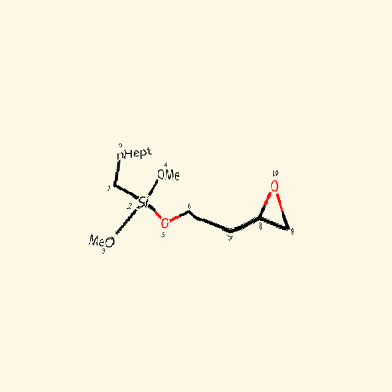 CCCCCCCC[Si](OC)(OC)OCCC1CO1